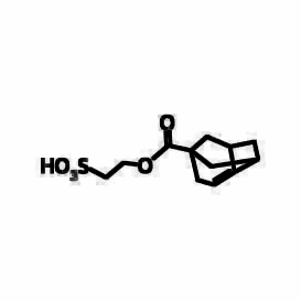 O=C(OCCS(=O)(=O)O)C12CC=C3C(CC3C1)C2